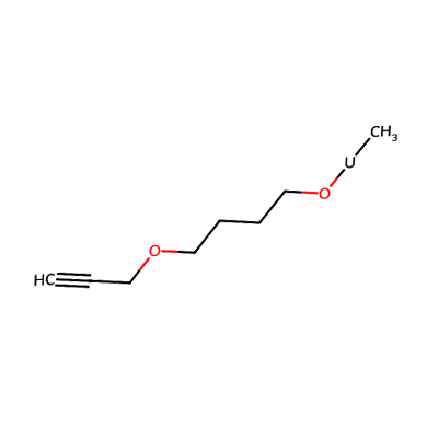 C#CCOCCCC[O][U][CH3]